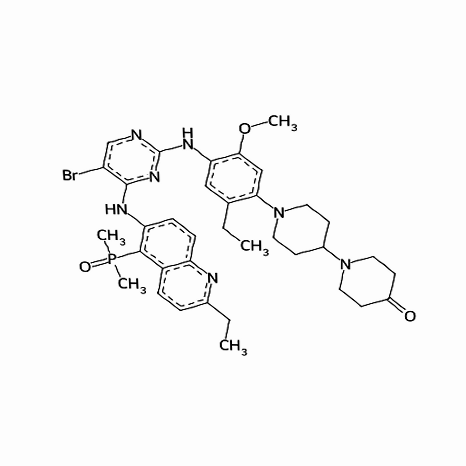 CCc1ccc2c(P(C)(C)=O)c(Nc3nc(Nc4cc(CC)c(N5CCC(N6CCC(=O)CC6)CC5)cc4OC)ncc3Br)ccc2n1